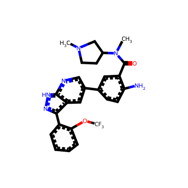 CN1CCC(N(C)C(=O)c2cc(-c3cnc4[nH]nc(-c5ccccc5OC(F)(F)F)c4c3)ccc2N)C1